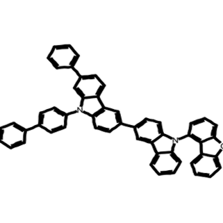 c1ccc(-c2ccc(-n3c4ccc(-c5ccc6c(c5)c5ccccc5n6-c5cccc6oc7ccccc7c56)cc4c4ccc(-c5ccccc5)cc43)cc2)cc1